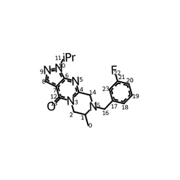 CC1Cn2c(nc3c(cnn3C(C)C)c2=O)CN1Cc1cccc(F)c1